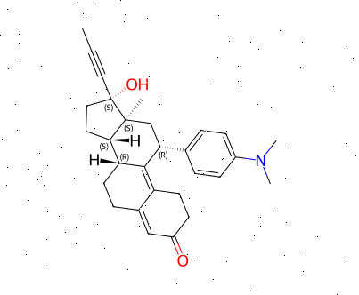 CC#C[C@]1(O)CC[C@H]2[C@H]3CCC4=CC(=O)CCC4=C3[C@@H](c3ccc(N(C)C)cc3)C[C@@]21C